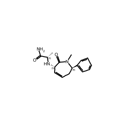 C[C@H](N[C@H]1C=CC[C@H](c2ccccc2)N(C)C1=O)C(N)=O